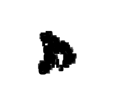 Cn1ccc(CN2CCN(c3ccc(C(F)(F)F)cc3NC(=O)c3ccc(C4CCOCC4)o3)CC2)n1